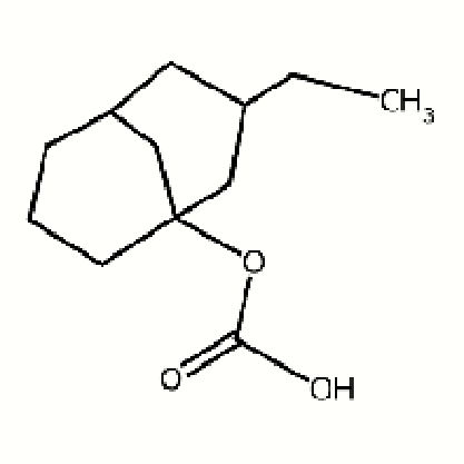 CCC1CC2CCCC(OC(=O)O)(C1)C2